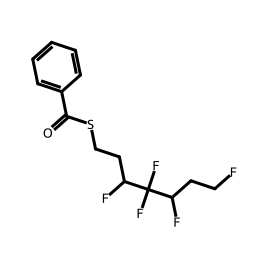 O=C(SCCC(F)C(F)(F)C(F)CCF)c1ccccc1